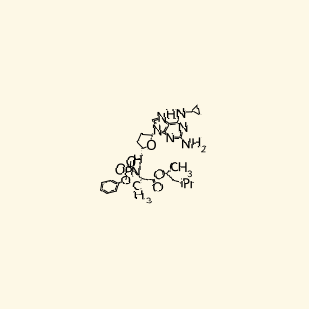 CC(C)C[C@H](C)OC(=O)[C@H](C)N[P@](=O)(OC[C@@H]1CC[C@H](n2cnc3c(NC4CC4)nc(N)nc32)O1)Oc1ccccc1